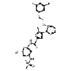 Cc1sc(C(=O)Nc2cc(Cl)cc(NS(C)(=O)=O)c2)cc1-c1ncccc1OCCc1cc(F)cc(F)c1